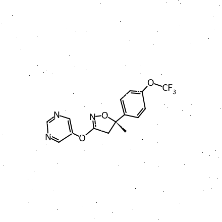 C[C@@]1(c2ccc(OC(F)(F)F)cc2)CC(Oc2cncnc2)=NO1